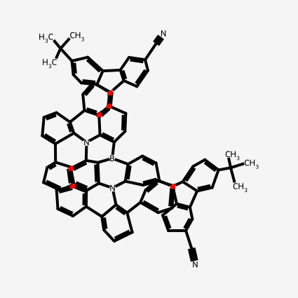 CC(C)(C)c1ccc2c(c1)c1cc(C#N)ccc1n2-c1ccc2c(c1)N(c1c(-c3ccccc3)cccc1-c1ccccc1)c1cccc3c1B2c1ccc(-n2c4ccc(C#N)cc4c4cc(C(C)(C)C)ccc42)cc1N3c1c(-c2ccccc2)cccc1-c1ccccc1